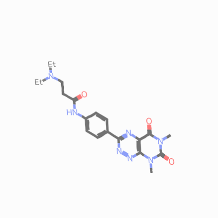 CCN(CC)CCC(=O)Nc1ccc(-c2nnc3c(n2)c(=O)n(C)c(=O)n3C)cc1